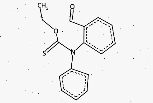 CCOC(=S)N(c1ccccc1)c1ccccc1C=O